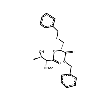 CC(=O)N[C@@H](C(=O)O[C@H](COCc1ccccc1)C(=O)OCc1ccccc1)[C@@H](C)O